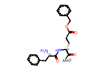 COC(=O)[C@@H](CCC(=O)OCc1ccccc1)NC(=O)[C@@H](N)Cc1ccccc1